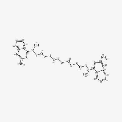 Nc1cc(C(O)COCCOCCOCCOCC(O)c2cc(N)nc3ccccc23)c2ccccc2n1